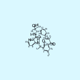 Cc1cc(C(C)Nc2cccnc2C(=O)NCC(C)(C)O)c2oc(-c3ccccc3)c(C)c(=O)c2c1